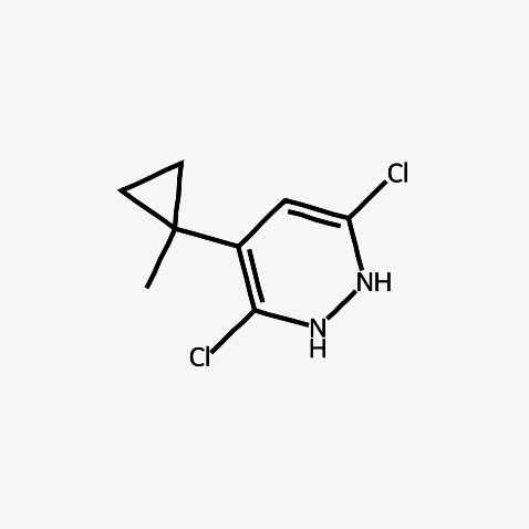 CC1(C2=C(Cl)NNC(Cl)=C2)CC1